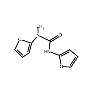 CN(C(=O)Nc1ccco1)c1ccco1